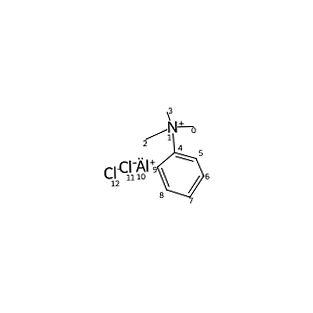 C[N+](C)(C)c1ccccc1.[Al+].[Cl-].[Cl-]